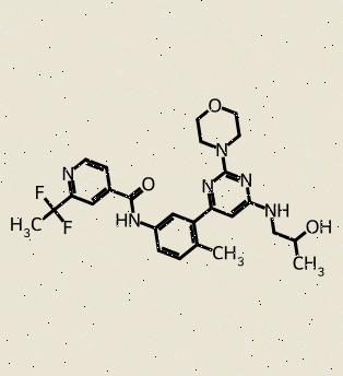 Cc1ccc(NC(=O)c2ccnc(C(C)(F)F)c2)cc1-c1cc(NCC(C)O)nc(N2CCOCC2)n1